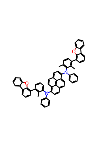 Cc1ccc(-c2cccc3c2oc2ccccc23)c(C)c1N(c1ccccc1)c1ccc2ccc3c(N(c4ccccc4)c4cccc(-c5cccc6c5oc5ccccc56)c4C)ccc4ccc1c2c43